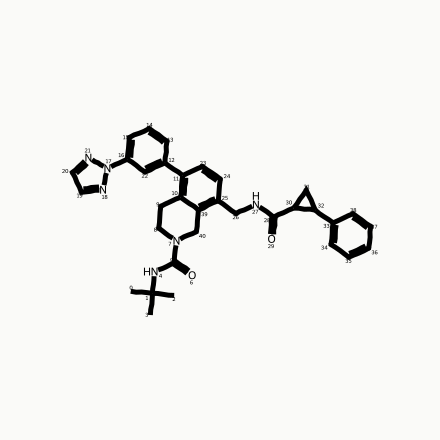 CC(C)(C)NC(=O)N1CCc2c(-c3cccc(-n4nccn4)c3)ccc(CNC(=O)C3CC3c3ccccc3)c2C1